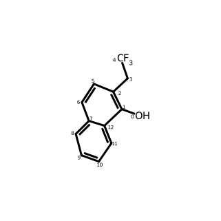 Oc1c(CC(F)(F)F)ccc2ccccc12